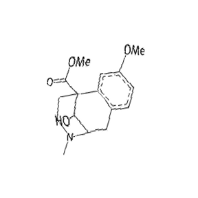 COC(=O)C12CCN(C)C(Cc3ccc(OC)cc31)C2O